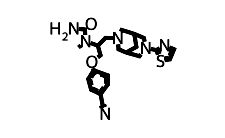 CN(C(N)=O)C(COc1ccc(C#N)cc1)CN1CC2CC(C1)CN(c1nccs1)C2